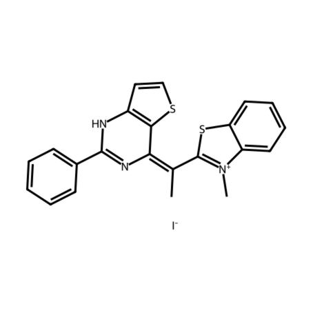 CC(=C1N=C(c2ccccc2)Nc2ccsc21)c1sc2ccccc2[n+]1C.[I-]